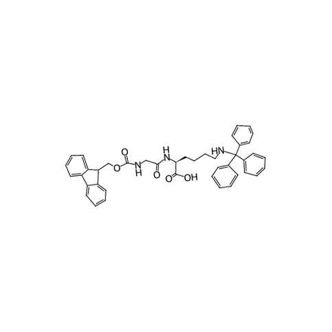 O=C(CNC(=O)OCC1c2ccccc2-c2ccccc21)N[C@@H](CCCCNC(c1ccccc1)(c1ccccc1)c1ccccc1)C(=O)O